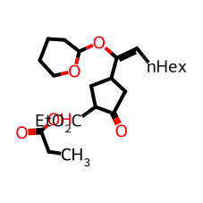 CCC(=O)O.CCCCCCC=C(OC1CCCCO1)C1CC(=O)C(C(=O)OCC)C1